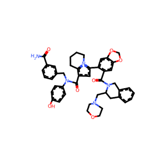 NC(=O)c1cccc(CN(C(=O)c2cc(-c3cc4c(cc3C(=O)N3Cc5ccccc5CC3CN3CCOCC3)OCO4)n3c2CCCC3)c2ccc(O)cc2)c1